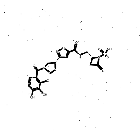 O=C(NC[C@H]1CC(=O)N1S(=O)(=O)O)c1cc([C@@H]2CCN(C(=O)c3ccc(O)c(O)c3Cl)C2)no1